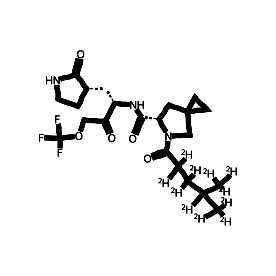 [2H]C([2H])([2H])C([2H])(C([2H])([2H])[2H])C([2H])([2H])C([2H])([2H])C(=O)N1CC2(CC2)C[C@H]1C(=O)N[C@@H](C[C@@H]1CCNC1=O)C(=O)COC(F)(F)F